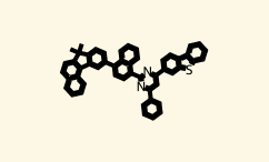 CC1(C)c2ccc(-c3ccc(-c4nc(-c5ccccc5)cc(-c5ccc6c(c5)sc5ccccc56)n4)c4ccccc34)cc2-c2c1ccc1ccccc21